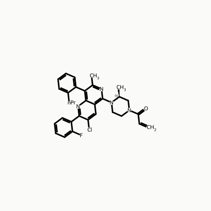 C=CC(=O)N1CCN(c2nc(C)c(-c3ccccc3CCC)c3nc(-c4ccccc4F)c(Cl)cc23)[C@@H](C)C1